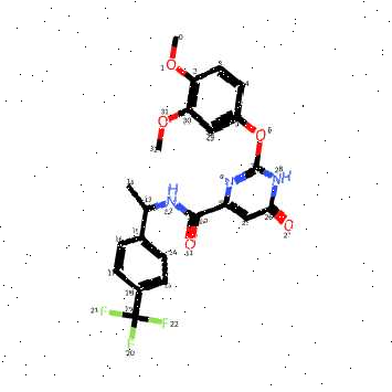 COc1ccc(Oc2nc(C(=O)NC(C)c3ccc(C(F)(F)F)cc3)cc(=O)[nH]2)cc1OC